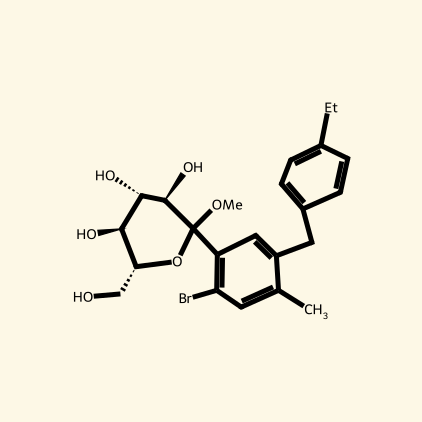 CCc1ccc(Cc2cc(C3(OC)O[C@H](CO)[C@@H](O)[C@H](O)[C@H]3O)c(Br)cc2C)cc1